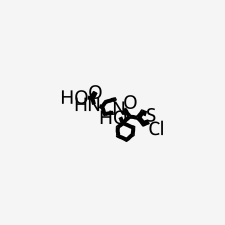 O=C(O)NC1CCN(C(=O)C(c2csc(Cl)c2)C2(O)CCCCC2)CC1